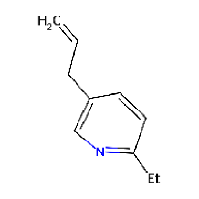 C=CCc1ccc(CC)nc1